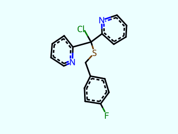 Fc1ccc(CSC(Cl)(c2ccccn2)c2ccccn2)cc1